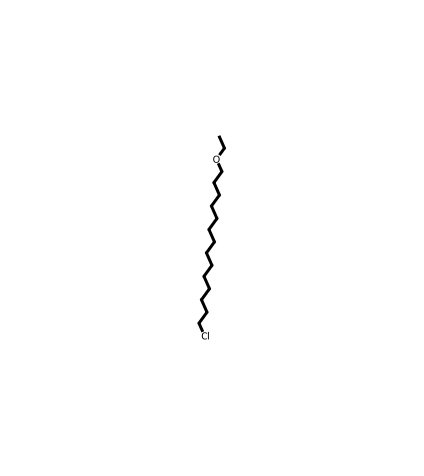 CCOCCCCCCCCCCCCCCCl